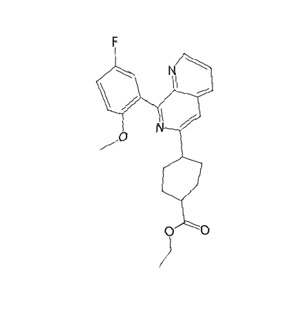 CCOC(=O)C1CCC(c2cc3cccnc3c(-c3cc(F)ccc3OC)n2)CC1